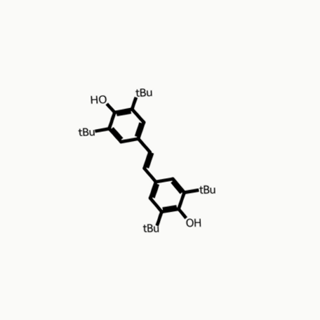 CC(C)(C)c1cc(/C=C/c2cc(C(C)(C)C)c(O)c(C(C)(C)C)c2)cc(C(C)(C)C)c1O